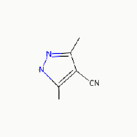 CC1=N[N]C(C)=C1C#N